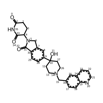 O=C1CCC(N2Cc3cc(C4(O)CCN(Cc5ccc6ncccc6c5)CC4)ccc3C2=O)C(=O)N1